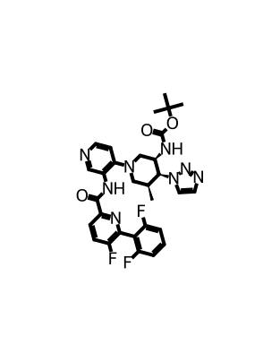 C[C@H]1CN(c2ccncc2NC(=O)c2ccc(F)c(-c3c(F)cccc3F)n2)C[C@@H](NC(=O)OC(C)(C)C)[C@H]1n1ccnn1